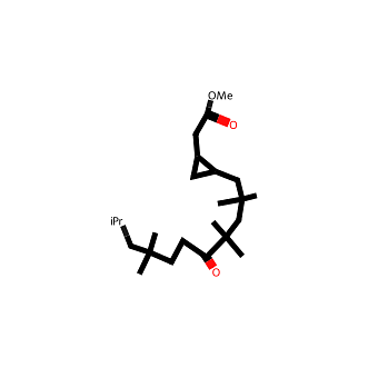 COC(=O)CC1CC1CC(C)(C)CC(C)(C)C(=O)CCC(C)(C)CC(C)C